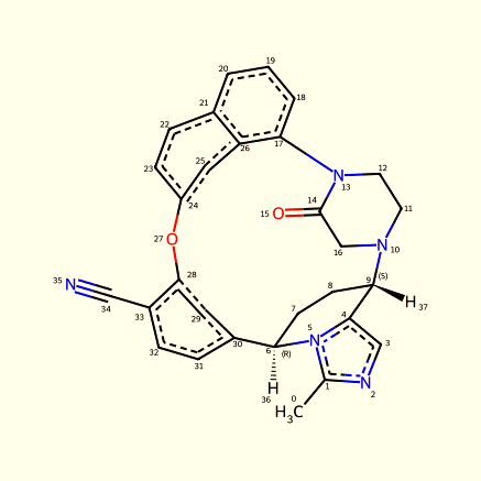 Cc1ncc2n1[C@@H]1CC[C@@H]2N2CCN(C(=O)C2)c2cccc3ccc(cc23)Oc2cc1ccc2C#N